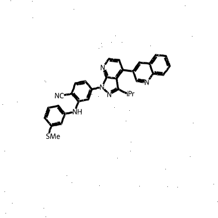 CSc1cccc(Nc2cc(-n3nc(C(C)C)c4c(-c5cnc6ccccc6c5)ccnc43)ccc2C#N)c1